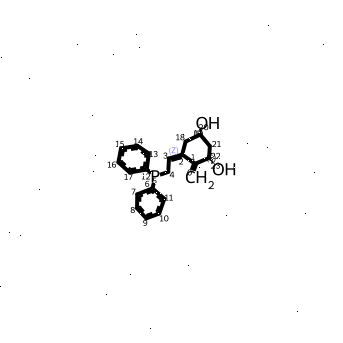 C=C1/C(=C\CP(c2ccccc2)c2ccccc2)C[C@H](O)C[C@@H]1O